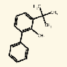 Cc1c(-c2ccccc2)[c]ccc1C(C)(C)C